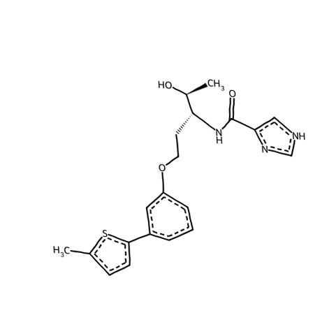 Cc1ccc(-c2cccc(OCC[C@@H](NC(=O)c3c[nH]cn3)[C@H](C)O)c2)s1